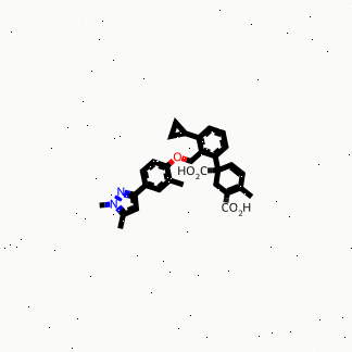 CC1=C(C(=O)O)CC(C(=O)O)(c2cccc(C3CC3)c2COc2ccc(-c3cc(C)n(C)n3)cc2C)C=C1